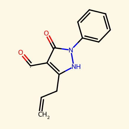 C=CCc1[nH]n(-c2ccccc2)c(=O)c1[C]=O